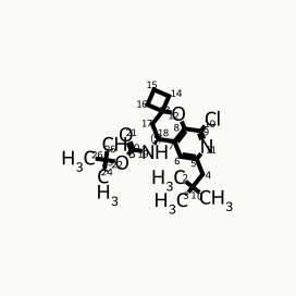 CC(C)(C)Cc1cc2c(c(Cl)n1)OC1(CCC1)C[C@@H]2NC(=O)OC(C)(C)C